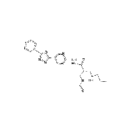 CCCCC[C@H](CN(O)C=O)C(=O)NNc1ccc(-c2nnc(-c3ccccc3)o2)cn1